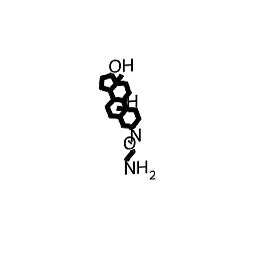 CC12CC[C@H]3C(CCC4CC(=NOCCN)CCC43C)C1CCC2O